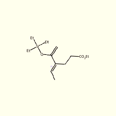 C=C(O[Si](CC)(CC)CC)/C(=C/C)CCC(=O)OCC